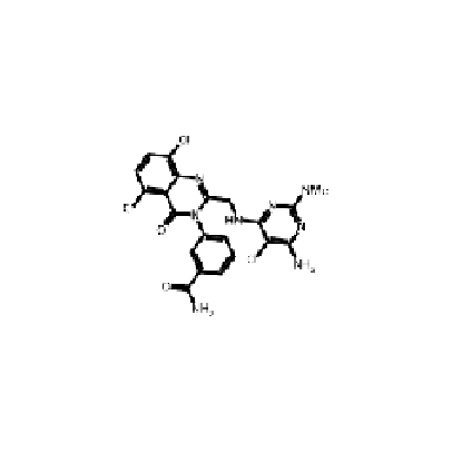 CNc1nc(N)c(Cl)c(NCc2nc3c(Cl)ccc(Cl)c3c(=O)n2-c2cccc(C(N)=O)c2)n1